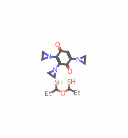 CCC(S)OC(S)CC.O=C1C=C(N2CC2)C(=O)C(N2CC2)=C1N1CC1